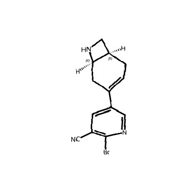 N#Cc1cc(C2=CC[C@@H]3CN[C@@H]3C2)cnc1Br